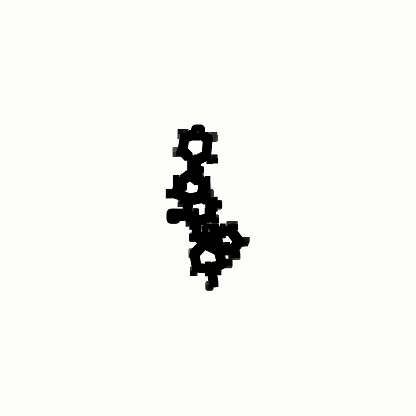 CN1CCC(O)(Cn2cnc3nc(N4CCOCC4)ncc3c2=O)C2(CCCC2)C1